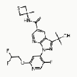 C=C(NC1(C)CSC1)c1cnc2c(c1)c(C(C)(C)O)nn2-c1cc(OCC(F)F)ncc1F